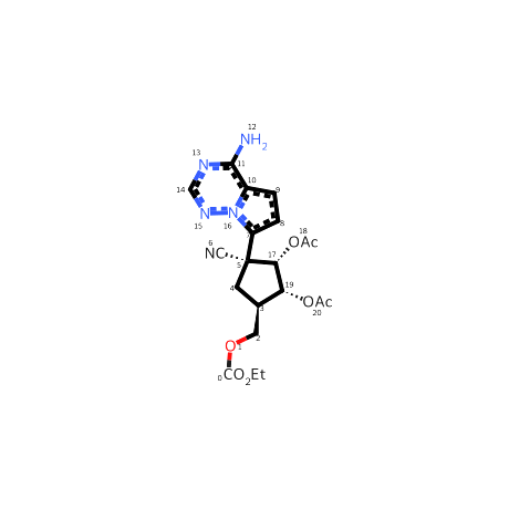 CCOC(=O)OC[C@H]1C[C@@](C#N)(c2ccc3c(N)ncnn23)[C@H](OC(C)=O)[C@@H]1OC(C)=O